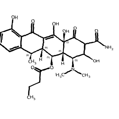 CCCC(=O)O[C@H]1[C@H]2C(=C(O)[C@]3(O)C(=O)C(C(N)=O)C(O)[C@@H](N(C)C)[C@H]13)C(=O)c1c(O)cccc1[C@@H]2C